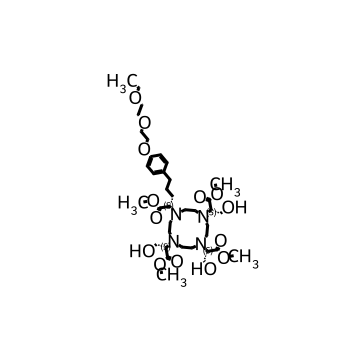 CCOCCOCCOc1ccc(CCC[C@@H](C(=O)OC)N2CCN([C@@H](CO)C(=O)OC)CCN([C@@H](CO)C(=O)OC)CCN([C@@H](CO)C(=O)OC)CC2)cc1